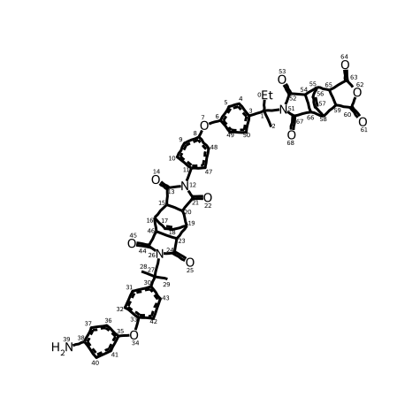 CCC(C)(c1ccc(Oc2ccc(N3C(=O)C4C5C=CC(C4C3=O)C3C(=O)N(C(C)(C)c4ccc(Oc6ccc(N)cc6)cc4)C(=O)C53)cc2)cc1)N1C(=O)C2C3C=CC(C4C(=O)OC(=O)C34)C2C1=O